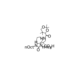 CCCCCCCCNC(=O)N(CCCCCC)C1(C(CNC(=O)C2OC(C)(C)OCC2(C)C)C(=O)O)CCCCC1